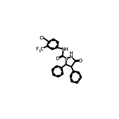 O=C1NN(C(=O)Nc2ccc(Cl)c(C(F)(F)F)c2)C(c2ccccc2)C1c1ccccc1